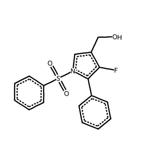 O=S(=O)(c1ccccc1)n1cc(CO)c(F)c1-c1ccccc1